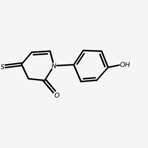 O=C1CC(=S)C=CN1c1ccc(O)cc1